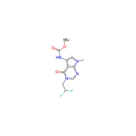 Cn1cc(NC(=O)OC(C)(C)C)c2c(=O)n(CC(F)F)cnc21